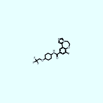 O=C(NC1CCC(OCC(F)(F)F)CC1)c1cc(F)c2c(c1)-c1cncn1CCO2